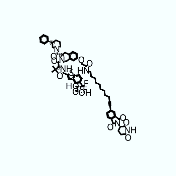 CC(C)(C)[C@H](NC(=O)c1cc2cc(C(F)(F)P(=O)(O)O)ccc2s1)C(=O)N1Cc2cc(OCC(=O)NCCCCCCCCCC#Cc3ccc4c(c3)C(=O)N(C3CCC(=O)NC3=O)C4=O)ccc2C[C@H]1C(=O)N1CCC[C@H](c2ccccc2)C1